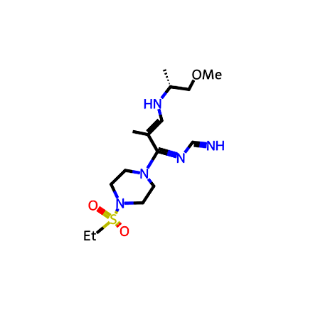 CCS(=O)(=O)N1CCN(C(=N/C=N)/C(C)=C/N[C@H](C)COC)CC1